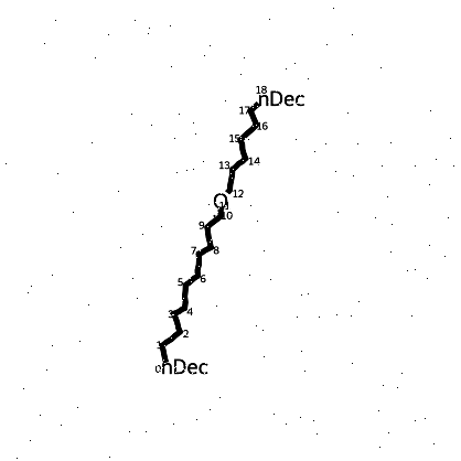 CCCCCCCCCCCCCCCCCCC[CH]OCCCCCCCCCCCCCCCC